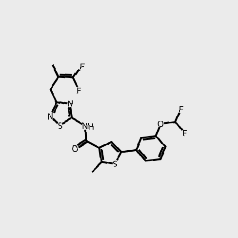 CC(Cc1nsc(NC(=O)c2cc(-c3cccc(OC(F)F)c3)sc2C)n1)=C(F)F